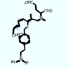 C\C(CN(C)C(C=O)CCC=O)=C(/C=C\C=C\C=O)SCc1ccc(CCN(C(C)C)C(C)C)cc1